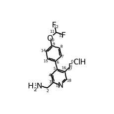 Cl.NCc1cc(-c2ccc(OC(F)F)cc2)c(F)cn1